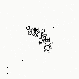 Cc1ccccc1[C@H]1[C@@H]2CN(C(=O)C3CC4(COC(=O)N4)C3)C[C@@H]21